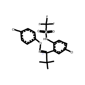 CC(C)(C)/C(=N/Oc1ccc(Cl)cc1)c1cc(Cl)ccc1NS(=O)(=O)C(F)(F)F